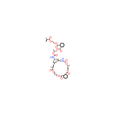 C=C(C)C(=O)OCCOC(=O)c1ccccc1C(=O)OCC(C)OC(=O)NC1CC2(C)/C=C(/C)C(=O)OCCOC(=O)c3ccccc3C(=O)OCC(C)OC(=O)NCC(C)(C1)C2